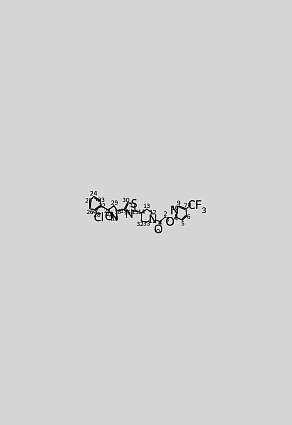 O=C(COc1ccc(C(F)(F)F)cn1)N1CCC(c2nc(C3=NOC(c4[c]cccc4Cl)C3)cs2)CC1